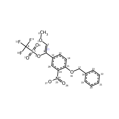 CO/C=C(\OS(=O)(=O)C(F)(F)F)c1ccc(OCc2ccccc2)c([N+](=O)[O-])c1